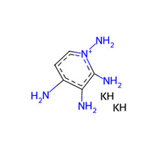 Nc1cc[n+](N)c(N)c1N.[KH].[KH]